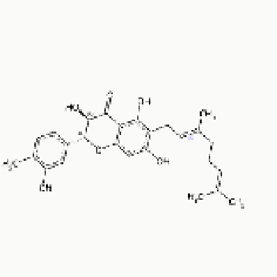 CC(C)=CCC/C(C)=C/Cc1c(O)cc2c(c1O)C(=O)[C@H](O)[C@@H](c1ccc(C)c(O)c1)O2